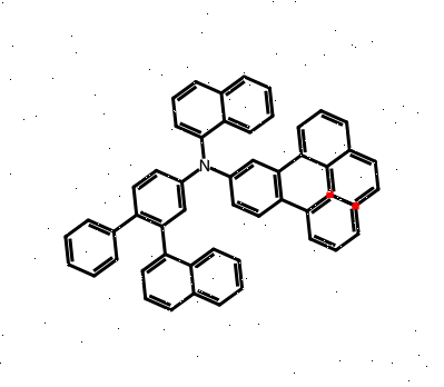 c1ccc(-c2ccc(N(c3ccc(-c4ccccc4)c(-c4cccc5ccccc45)c3)c3cccc4ccccc34)cc2-c2cccc3ccccc23)cc1